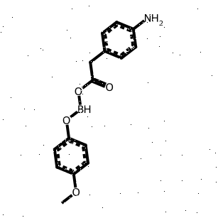 COc1ccc(OBOC(=O)Cc2ccc(N)cc2)cc1